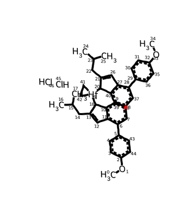 COc1ccc(-c2cccc3c2C=C(CC(C)C)[CH]3[Hf]2([CH]3C(CC(C)C)=Cc4c(-c5ccc(OC)cc5)cccc43)[CH2][CH2]2)cc1.Cl.Cl